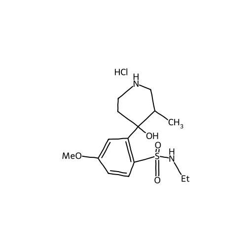 CCNS(=O)(=O)c1ccc(OC)cc1C1(O)CCNCC1C.Cl